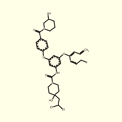 C=C/C=C(\C=C/CF)Oc1cc(NC(=O)N2CCC(O)(CC(CC)CC)CC2)cc(Oc2ccc(C(=O)N3CCCC(O)C3)cc2)c1